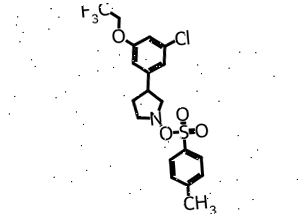 Cc1ccc(S(=O)(=O)ON2CCC(c3cc(Cl)cc(OCC(F)(F)F)c3)C2)cc1